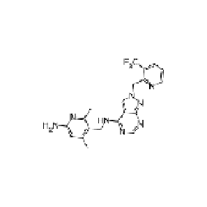 Cc1cc(N)nc(C)c1CNc1ncnc2nn(Cc3ncccc3C(F)(F)F)cc12